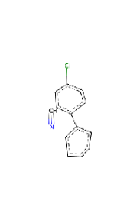 C#N.Clc1ccc(-c2ccccc2)cc1